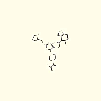 C=C(F)C(=O)N1CCN(c2nc(OCC3CCCN3C)nc3c2OCC(c2c(C)ccc4[nH]ncc24)O3)[C@@H](C)C1